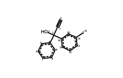 C#CC(O)(c1ccccc1)c1cccc(I)c1